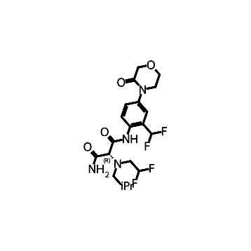 CC(C)CN(CC(F)F)[C@H](C(N)=O)C(=O)Nc1ccc(N2CCOCC2=O)cc1C(F)F